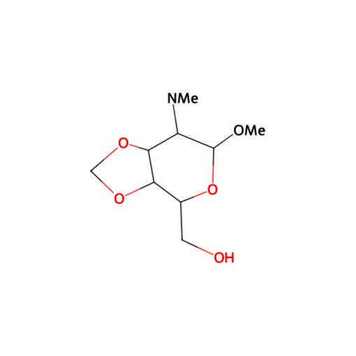 CNC1C(OC)OC(CO)C2OCOC12